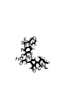 Cc1cc(C)n(C)c(=O)c1-c1ccc(C[C@H](NC(=O)c2c(F)cc(N3CCOC[C@@H]3C(F)(F)F)cc2F)C(=O)O)c2c1COC2